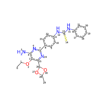 CCOc1c(N)nc(-c2ccc(NC(=S)Nc3ccccc3)cc2)nc1C1OC(C)O1